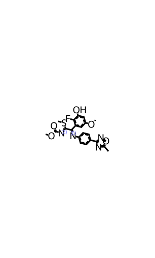 COC(=O)/N=C(SC)/C(=N/c1ccc(-c2noc(C)n2)cc1)c1cc(OC)cc(O)c1F